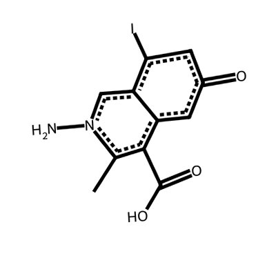 Cc1c(C(=O)O)c2cc(=O)cc(I)c-2cn1N